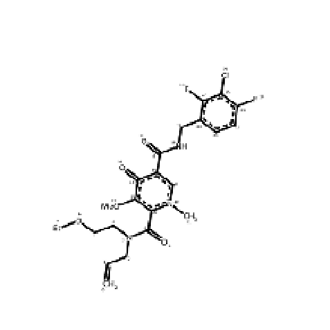 C=CCN(CCOCC)C(=O)c1c(OC)c(=O)c(C(=O)NCc2ccc(F)c(Cl)c2F)cn1C